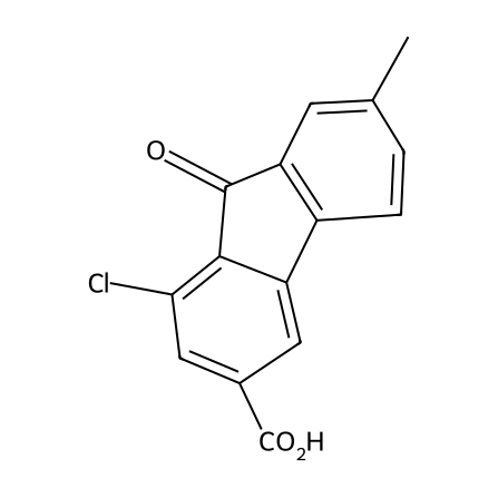 Cc1ccc2c(c1)C(=O)c1c(Cl)cc(C(=O)O)cc1-2